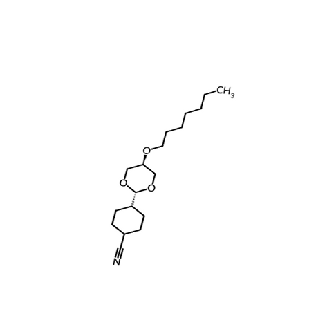 CCCCCCCO[C@H]1CO[C@H](C2CCC(C#N)CC2)OC1